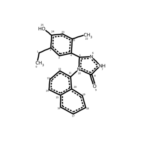 CCc1cc(-c2n[nH]c(=O)n2-c2cccc3ccccc23)c(C)cc1O